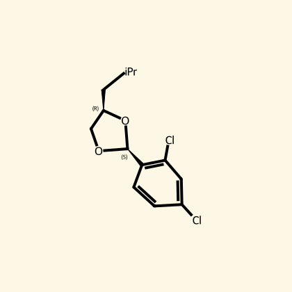 CC(C)C[C@@H]1CO[C@H](c2ccc(Cl)cc2Cl)O1